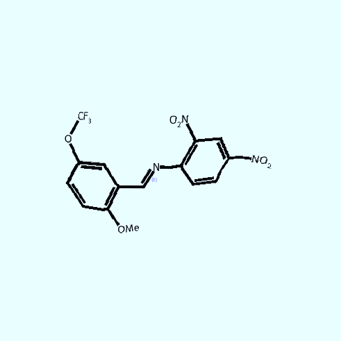 COc1ccc(OC(F)(F)F)cc1/C=N/c1ccc([N+](=O)[O-])cc1[N+](=O)[O-]